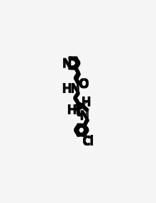 O=C(/C=C/c1cccnc1)NCCC1[C@H]2CN(Cc3cccc(Cl)c3)C[C@@H]12